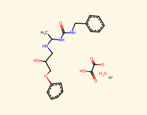 CC(NCC(O)COc1ccccc1)NC(=O)NCc1ccccc1.O.O=C([O-])C(=O)O.[H+]